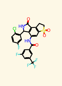 O=C(Nc1cc2c(c3c1C(c1cc(F)ccc1Cl)NC3=O)CCS2(=O)=O)c1cc(F)cc(C(F)(F)F)c1